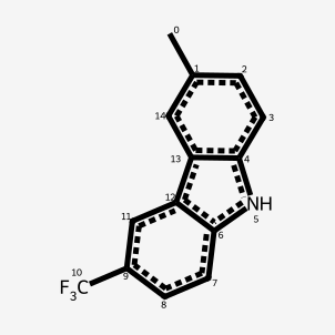 Cc1ccc2[nH]c3ccc(C(F)(F)F)cc3c2c1